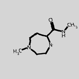 CNC(=O)C1CCN(C)CC[N]1